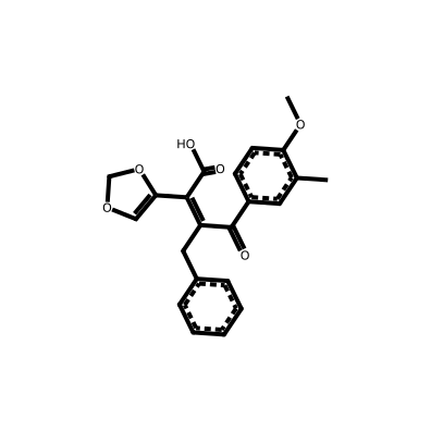 COc1ccc(C(=O)C(Cc2ccccc2)=C(C(=O)O)C2=COCO2)cc1C